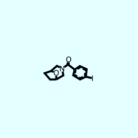 O=C(c1ccc(I)cc1)N1CC2CCC(C1)O2